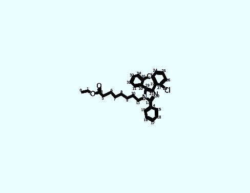 CCOC(=O)CCCCCCCn1c(-c2ccccc2)nc(-c2ccccc2Cl)c1-c1ccccc1Cl